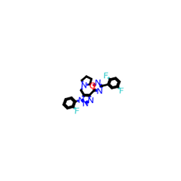 Fc1ccc(F)c(-c2noc(-c3nnn(-c4ccccc4F)c3CN3CCCC3)n2)c1